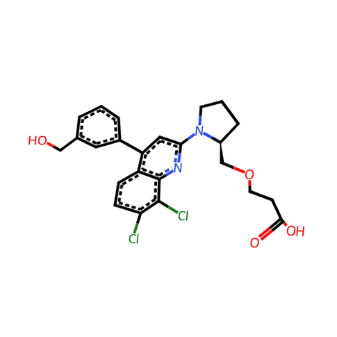 O=C(O)CCOC[C@@H]1CCCN1c1cc(-c2cccc(CO)c2)c2ccc(Cl)c(Cl)c2n1